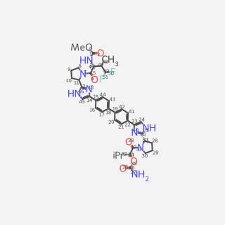 COC(=O)N[C@H](C(=O)N1CCCC1c1nc(-c2ccc(-c3ccc(-c4c[nH]c([C@@H]5CCCN5C(=O)[C@@H](OC(N)=O)C(C)C)n4)cc3)cc2)c[nH]1)C(C)C(F)F